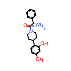 N[C@H](C(=O)N1CCC(c2ccc(O)cc2O)CC1)c1ccccc1